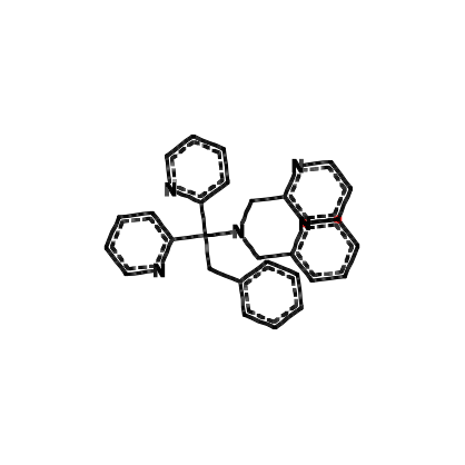 c1ccc(CC(c2ccccn2)(c2ccccn2)N(Cc2ccccn2)Cc2ccccn2)cc1